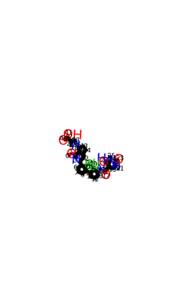 COc1nc(-c2cccc(-c3cccc(NC(=O)c4cn(C)c(=O)n(C)c4=O)c3Cl)c2Cl)cc2c1[C@H](N1CC(C(=O)O)C1)CC2